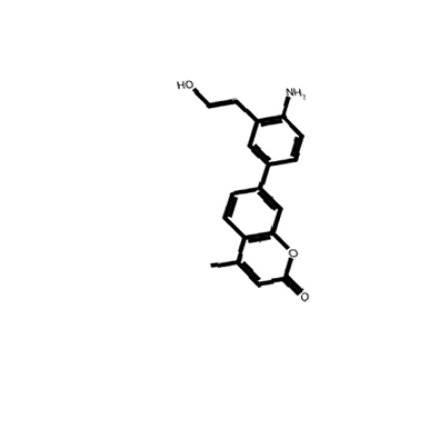 Cc1cc(=O)oc2cc(-c3ccc(N)c(CCO)c3)ccc12